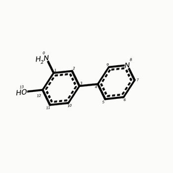 Nc1cc(-c2cccnc2)ccc1O